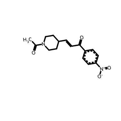 CC(=O)N1CCC(C=CC(=O)c2ccc([N+](=O)[O-])cc2)CC1